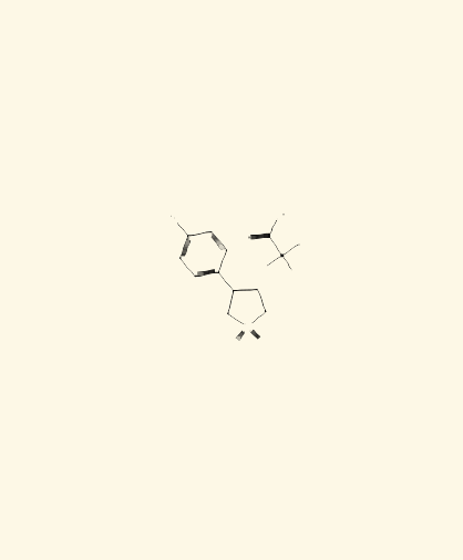 Nc1ccc(C2CCS(=O)(=O)C2)cc1.O=C(O)C(F)(F)F